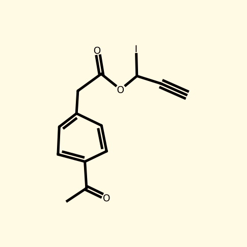 C#CC(I)OC(=O)Cc1ccc(C(C)=O)cc1